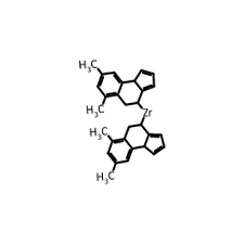 Cc1cc(C)c2c(c1)C1C=CC=C1[CH]([Zr][CH]1Cc3c(C)cc(C)cc3C3C=CC=C13)C2